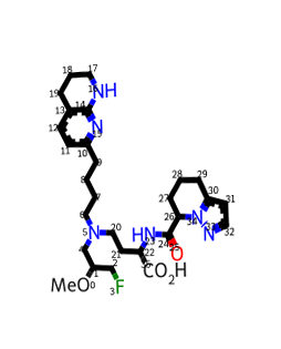 COC(CF)CN(CCCCc1ccc2c(n1)NCCC2)CCC(NC(=O)C1CCCc2ccnn21)C(=O)O